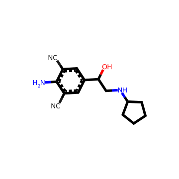 N#Cc1cc(C(O)CNC2CCCC2)cc(C#N)c1N